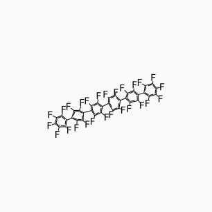 Fc1c(F)c(F)c(-c2c(F)c(F)c(-c3c(F)c(F)c(-c4c(F)c(F)c(-c5c(F)c(F)c(-c6c(F)c(F)c(F)c(F)c6F)c(F)c5F)c(F)c4F)c(F)c3F)c(F)c2F)c(F)c1F